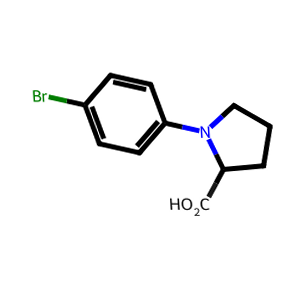 O=C(O)C1CCCN1c1ccc(Br)cc1